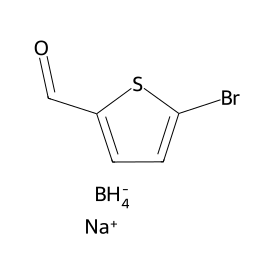 O=Cc1ccc(Br)s1.[BH4-].[Na+]